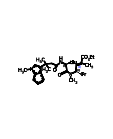 CCOC(=O)/C(C)=C/[C@H](C(C)C)N(C)C(=O)[C@@H](NC(=O)CC(C)(C)c1cn(C)c2ccccc12)C(C)(C)C